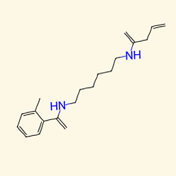 C=CCC(=C)NCCCCCCNC(=C)c1ccccc1C